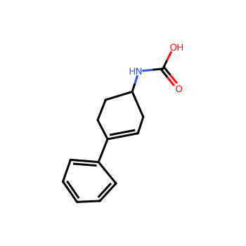 O=C(O)NC1CC=C(c2ccccc2)CC1